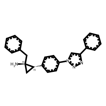 N[C@]1(Cc2ccccc2)C[C@H]1c1ccc(-n2cc(-c3ccccc3)nn2)cc1